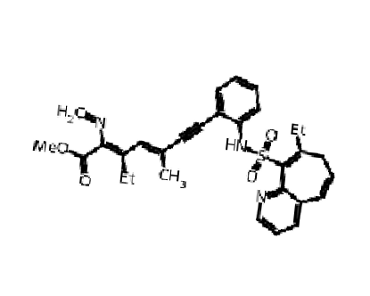 C=N/C(C(=O)OC)=C(\C=C(/C)C#Cc1ccccc1NS(=O)(=O)C1=C(CC)CC=Cc2cccnc21)CC